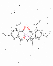 CCc1cc(CC)c(C(=O)P(=O)(C(=O)c2c(CC)cc(CC)cc2CC)C(C)(C)C)c(CC)c1